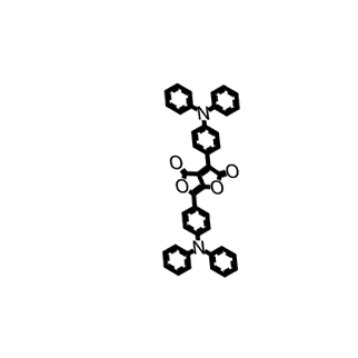 O=C1OC(c2ccc(N(c3ccccc3)c3ccccc3)cc2)=C2OC(=O)C(c3ccc(N(c4ccccc4)c4ccccc4)cc3)=C12